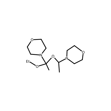 CCOC(C)(OC(C)N1CCOCC1)N1CCOCC1